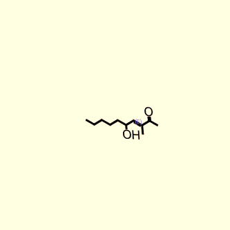 CCCCCC(O)/C=C(\C)C(C)=O